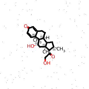 C[C@H]1CC2[C@@H]3CCC4=CC(=O)C=C[C@]4(C)C3[C@@H](O)C[C@]2(C)[C@H]1C(=O)CO